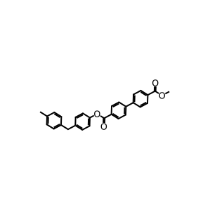 COC(=O)c1ccc(-c2ccc(C(=O)Oc3ccc(Cc4ccc(C)cc4)cc3)cc2)cc1